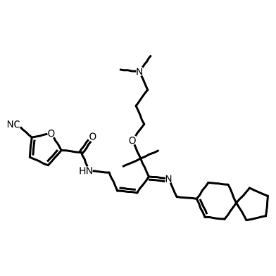 CN(C)CCCOC(C)(C)C(/C=C\CNC(=O)c1ccc(C#N)o1)=N/CC1=CCC2(CCCC2)CC1